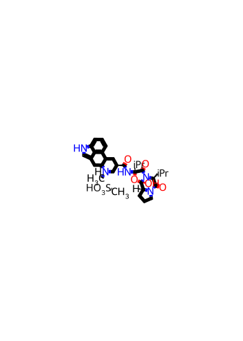 CC(C)[C@H]1C(=O)N2CCC[C@H]2[C@]2(O)O[C@](NC(=O)[C@@H]3CC4c5cccc6[nH]cc(c56)C[C@H]4N(C)C3)(C(C)C)C(=O)N12.CS(=O)(=O)O